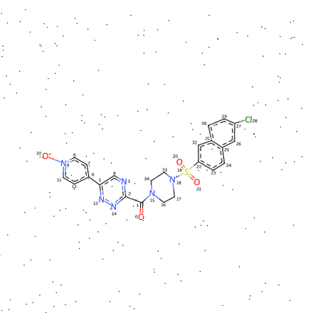 O=C(c1ncc(-c2cc[n+]([O-])cc2)nn1)N1CCN(S(=O)(=O)c2ccc3cc(Cl)ccc3c2)CC1